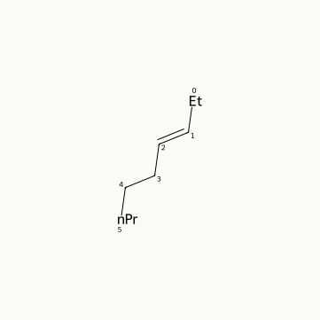 CC/C=C/CCCCC